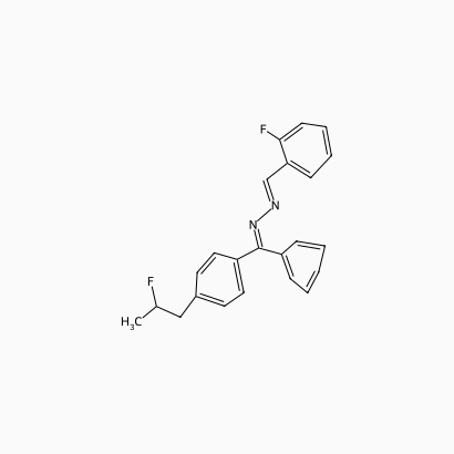 CC(F)Cc1ccc(C(=NN=Cc2ccccc2F)c2ccccc2)cc1